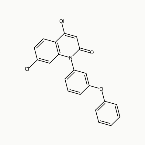 O=c1cc(O)c2ccc(Cl)cc2n1-c1cccc(Oc2ccccc2)c1